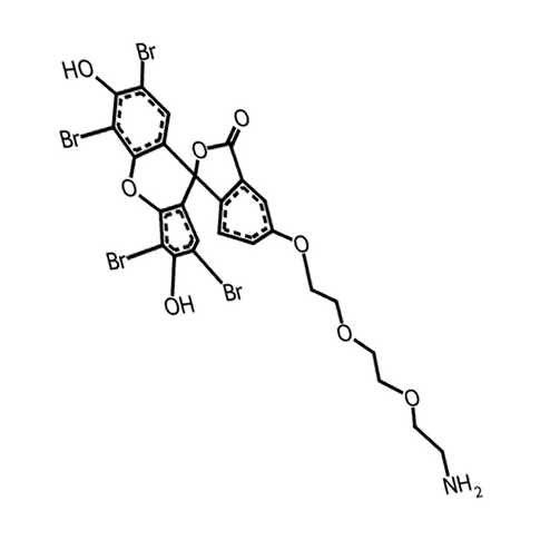 NCCOCCOCCOc1ccc2c(c1)C(=O)OC21c2cc(Br)c(O)c(Br)c2Oc2c1cc(Br)c(O)c2Br